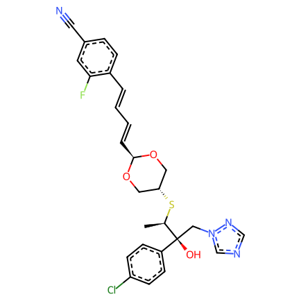 C[C@@H](S[C@H]1CO[C@H](C=CC=Cc2ccc(C#N)cc2F)OC1)[C@](O)(Cn1cncn1)c1ccc(Cl)cc1